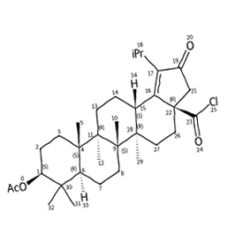 CC(=O)O[C@H]1CC[C@@]2(C)[C@@H](CC[C@]3(C)[C@]2(C)CC[C@@H]2C4=C(C(C)C)C(=O)C[C@]4(C(=O)Cl)CC[C@]23C)C1(C)C